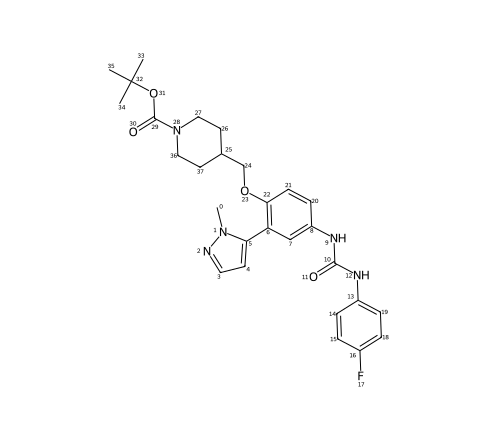 Cn1nccc1-c1cc(NC(=O)Nc2ccc(F)cc2)ccc1OCC1CCN(C(=O)OC(C)(C)C)CC1